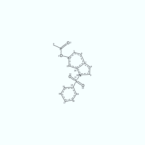 CC(=O)Oc1ccc2ccn(S(=O)(=O)c3ccccc3)c2c1